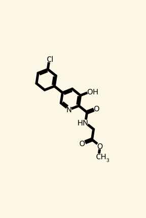 COC(=O)CNC(=O)c1ncc(C2=CC(Cl)=CCC2)cc1O